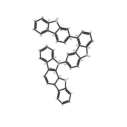 C1=CC2c3ccccc3SC2c2c1c1ccccc1n2-c1ccc2sc3cccc(-c4ccc5c(c4)oc4ccccc45)c3c2c1